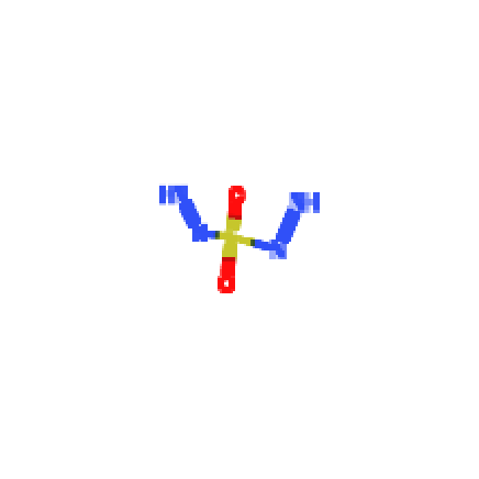 N=NS(=O)(=O)N=N